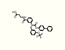 O=C(O)CCNC(=O)c1cccc(N(Cc2cccc(OC(F)(F)F)c2)C(=O)Oc2ccc(-c3ccccc3)cc2)c1